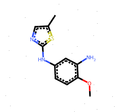 COc1ccc(Nc2ncc(C)s2)cc1N